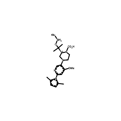 COc1cc(-n2c(C)ccc2C)ncc1N1CCN(C(=O)O)[C@H](C(C)(C)O[SiH2]C(C)(C)C)C1